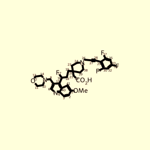 COc1ccc2ncc(CN3CCOCC3)c(C(F)CCC3(CC(=O)O)CCN(CC#Cc4c(F)cc(F)cc4F)CC3)c2c1